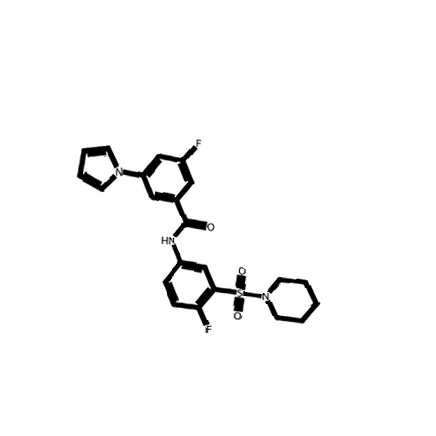 O=C(Nc1ccc(F)c(S(=O)(=O)N2CCCCC2)c1)c1cc(F)cc(-n2cccc2)c1